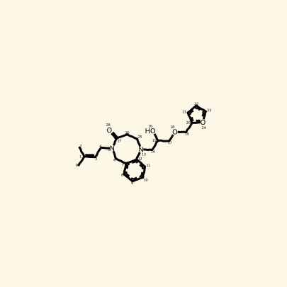 CC(C)=CCN1Cc2ccccc2N(CC(O)COCc2ccco2)CCC1=O